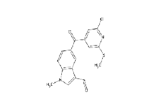 CSc1cc(C(=O)c2ccc3c(c2)c(C=O)cn3C)cc(Cl)n1